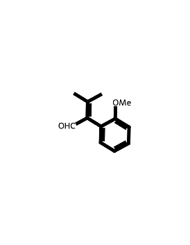 COc1ccccc1C(C=O)=C(C)C